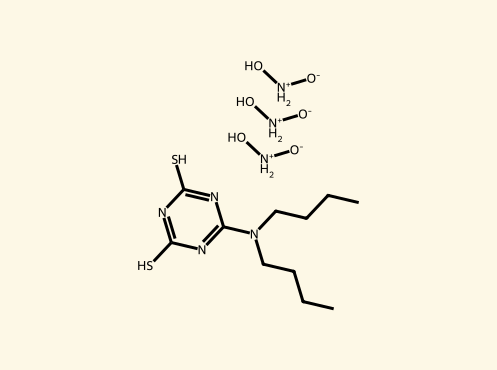 CCCCN(CCCC)c1nc(S)nc(S)n1.[O-][NH2+]O.[O-][NH2+]O.[O-][NH2+]O